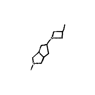 CC1CN(C2CC3CN(C)CC3C2)C1